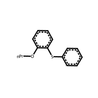 CCCOc1ccccc1Sc1[c]cccc1